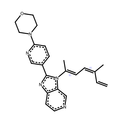 C=C/C(C)=C\C=C(/C)n1c(-c2ccc(N3CCOCC3)nc2)nc2ccncc21